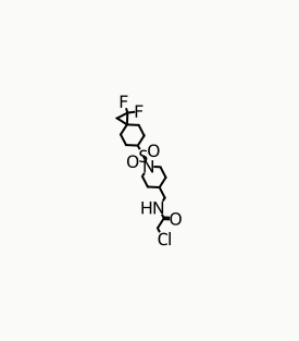 O=C(CCl)NCC1CCN(S(=O)(=O)C2CCC3(CC2)CC3(F)F)CC1